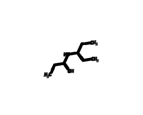 CCC(O)NC(CC)CC